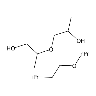 CC(O)COC(C)CO.CCCOCCC(C)C